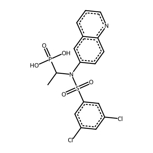 CC(N(c1ccc2ncccc2c1)S(=O)(=O)c1cc(Cl)cc(Cl)c1)P(=O)(O)O